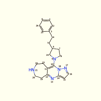 c1ccc(CCC2CCN(c3c4c(nc5ccnn35)CCNCC4)C2)cc1